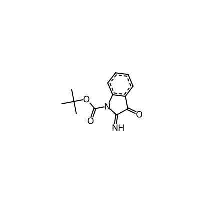 CC(C)(C)OC(=O)N1C(=N)C(=O)c2ccccc21